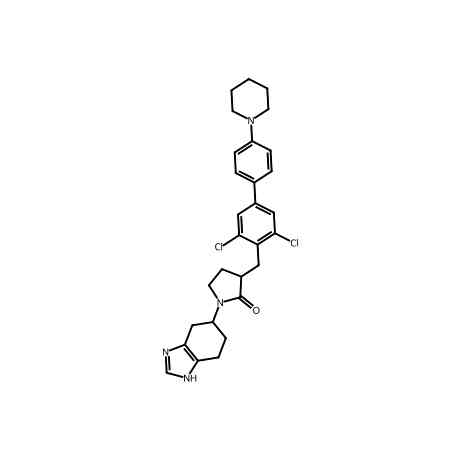 O=C1C(Cc2c(Cl)cc(-c3ccc(N4CCCCC4)cc3)cc2Cl)CCN1C1CCc2[nH]cnc2C1